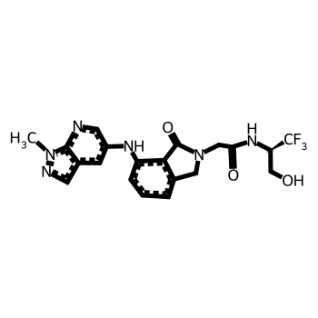 Cn1ncc2cc(Nc3cccc4c3C(=O)N(CC(=O)N[C@H](CO)C(F)(F)F)C4)cnc21